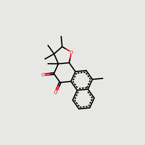 Cc1cc2c(c3ccccc13)C(=O)C(=O)C1(C)C2OC(C)C1(C)C